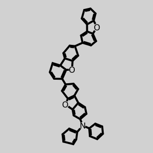 c1ccc(N(c2ccccc2)c2ccc3c(c2)oc2cc(-c4cccc5c4oc4cc(-c6ccc7oc8ccccc8c7c6)ccc45)ccc23)cc1